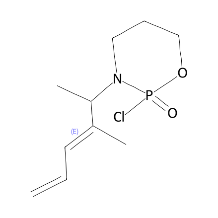 C=C/C=C(\C)C(C)N1CCCOP1(=O)Cl